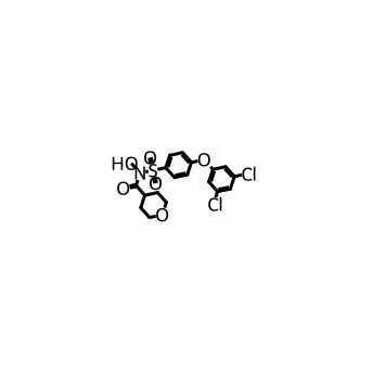 O=C(C1CCOCC1)N(O)S(=O)(=O)c1ccc(Oc2cc(Cl)cc(Cl)c2)cc1